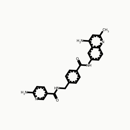 Cc1cc(N)c2cc(NC(=O)c3ccc(CNC(=O)c4ccc(N)nc4)cc3)ccc2n1